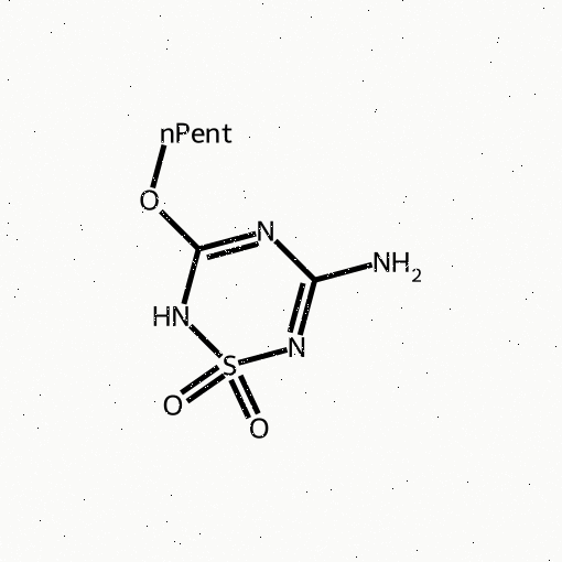 CCCCCOC1=NC(N)=NS(=O)(=O)N1